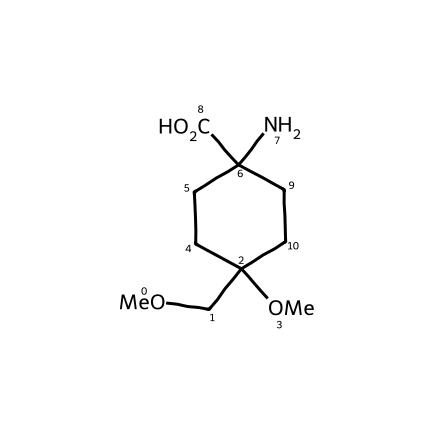 COCC1(OC)CCC(N)(C(=O)O)CC1